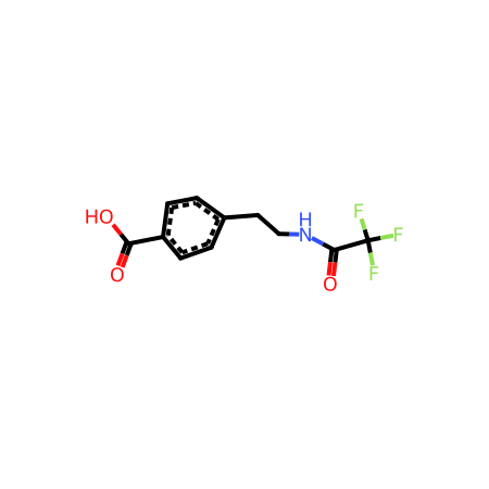 O=C(O)c1ccc(CCNC(=O)C(F)(F)F)cc1